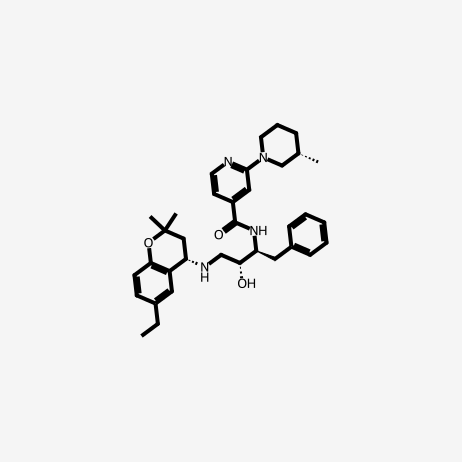 CCc1ccc2c(c1)[C@@H](NC[C@@H](O)[C@H](Cc1ccccc1)NC(=O)c1ccnc(N3CCC[C@H](C)C3)c1)CC(C)(C)O2